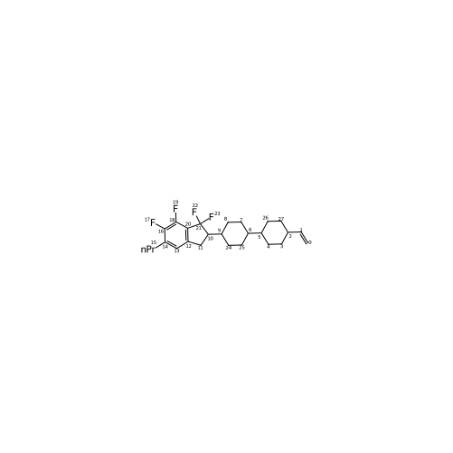 C=CC1CCC(C2CCC(C3Cc4cc(CCC)c(F)c(F)c4C3(F)F)CC2)CC1